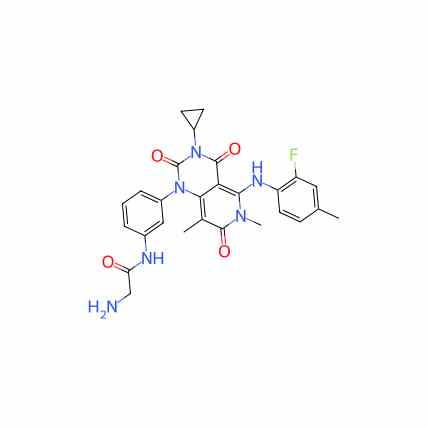 Cc1ccc(Nc2c3c(=O)n(C4CC4)c(=O)n(-c4cccc(NC(=O)CN)c4)c3c(C)c(=O)n2C)c(F)c1